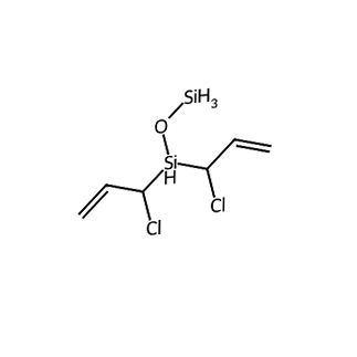 C=CC(Cl)[SiH](O[SiH3])C(Cl)C=C